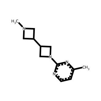 Cc1ccnc(N2CC(C3CN(C)C3)C2)n1